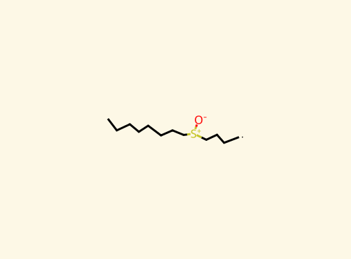 [CH2]CCC[S+]([O-])CCCCCCCC